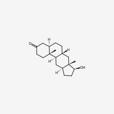 C[C@]12C[C@H]3CC[C@@H]4CC(=O)CC[C@@]4(C)[C@@H]3C[C@@H]1CC[C@@H]2O